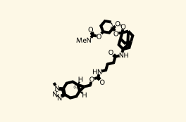 CNC(=O)OC1CCC[C@]2(C1)OOC1(O2)C2CC3CC1CC(NC(=O)CCCNC(=O)OCC1[C@H]4CCc5c(nnn5C)CC[C@@H]14)(C3)C2